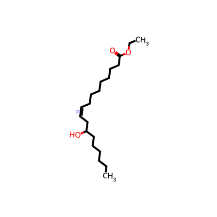 CCCCCCC(O)C/C=C\CCCCCCCC(=O)OCC